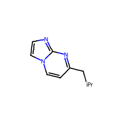 CC(C)Cc1ccn2ccnc2n1